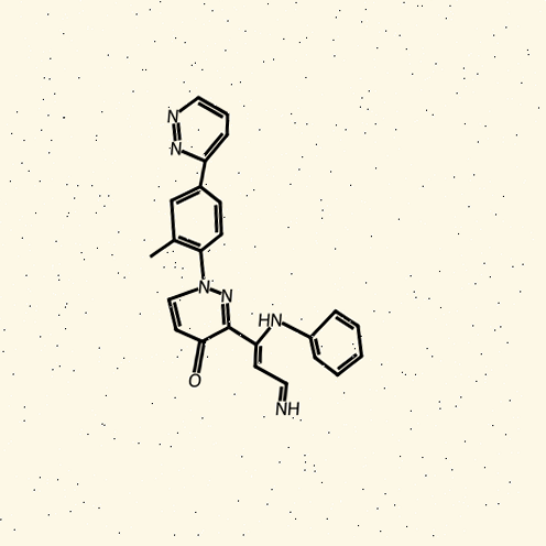 Cc1cc(-c2cccnn2)ccc1-n1ccc(=O)c(/C(=C/C=N)Nc2ccccc2)n1